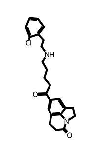 O=C(CCCCNCCc1ccccc1Cl)c1cc2c3c(c1)CCN3C(=O)CC2